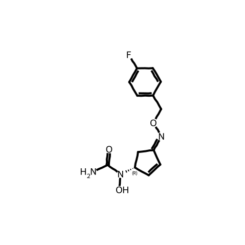 NC(=O)N(O)[C@H]1C=CC(=NOCc2ccc(F)cc2)C1